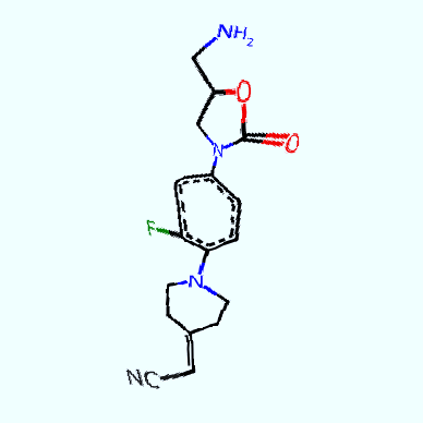 N#CC=C1CCN(c2ccc(N3CC(CN)OC3=O)cc2F)CC1